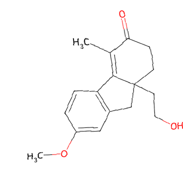 COc1ccc2c(c1)CC1(CCO)CCC(=O)C(C)=C21